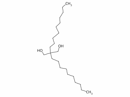 CCCCCCCCCCC(CO)(CO)CCCCCCCCCC